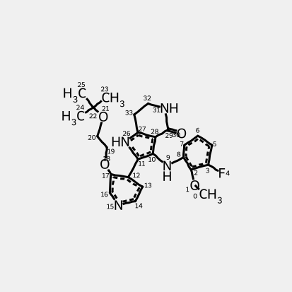 COc1c(F)cccc1Nc1c(-c2ccncc2OCCOC(C)(C)C)[nH]c2c1C(=O)NCC2